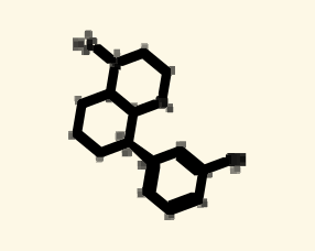 CN1CCOC2C1CCC[C@@H]2c1cccc(O)c1